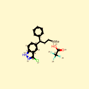 CNCCC(c1ccccc1)c1ccc2[nH]nc(Cl)c2c1.O=C(O)C(F)(F)F